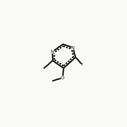 COc1c(C)ncnc1I